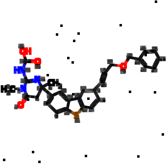 CN1C(=O)CC(C)(c2ccc3sc4ccc(C#CCOCc5ccccc5)cc4c3c2)N=C1NC(=O)O